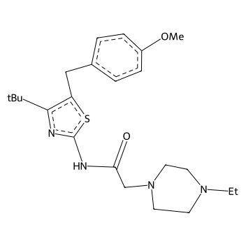 CCN1CCN(CC(=O)Nc2nc(C(C)(C)C)c(Cc3ccc(OC)cc3)s2)CC1